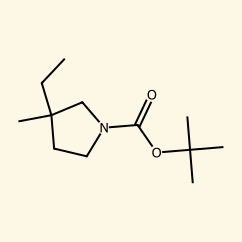 CCC1(C)CCN(C(=O)OC(C)(C)C)C1